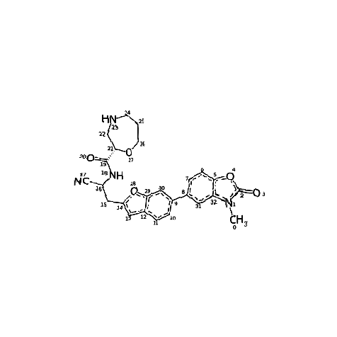 Cn1c(=O)oc2ccc(-c3ccc4cc(CC(C#N)NC(=O)[C@@H]5CNCCCO5)oc4c3)cc21